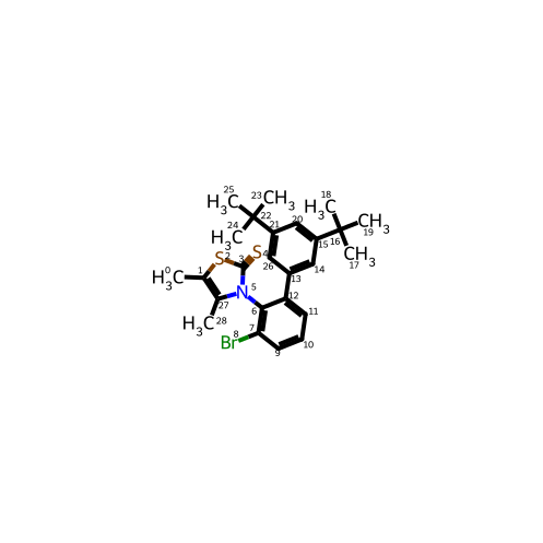 Cc1sc(=S)n(-c2c(Br)cccc2-c2cc(C(C)(C)C)cc(C(C)(C)C)c2)c1C